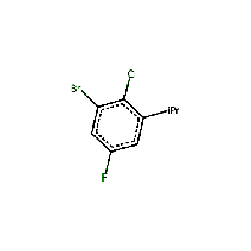 CC(C)c1cc(F)cc(Br)c1Cl